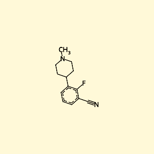 CN1CCC(c2cccc(C#N)c2F)CC1